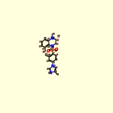 Cc1cn(-c2ccc(S(=O)(=O)N3C[C@@H](C)N(C)c4cccc(C)c43)c(C)c2)cn1